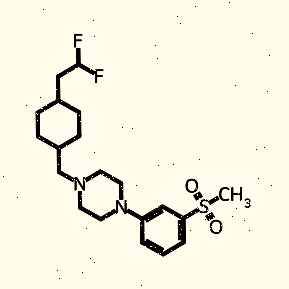 CS(=O)(=O)c1cccc(N2CCN(CC3CCC(CC(F)F)CC3)CC2)c1